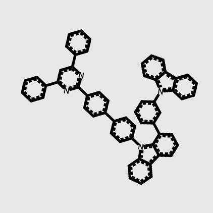 c1ccc(-c2cc(-c3ccccc3)nc(-c3ccc(-c4ccc(-n5c6ccccc6c6cccc(-c7cccc(-n8c9ccccc9c9ccccc98)c7)c65)cc4)cc3)n2)cc1